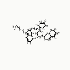 C=CCCCC1=C2C=CC=CC2C(C2CCC([C@@H]3CC=C4C=CCCC4C3)CC2N[C@H]2C=CC=CC2)CC1